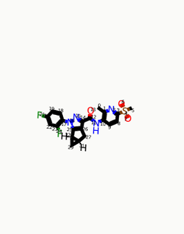 Cc1nc(S(C)(=O)=O)ccc1NC(=O)c1nn(-c2ccc(F)cc2F)c2c1C[C@H]1C[C@@H]21